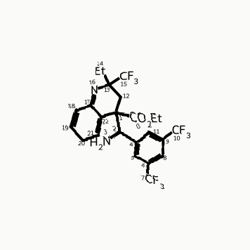 CCOC(=O)C1(C(N)c2cc(C(F)(F)F)cc(C(F)(F)F)c2)CC(CC)(C(F)(F)F)N=C2C=CCC=C21